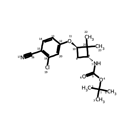 CC(C)(C)OC(=O)N[C@@H]1C[C@@H](Oc2ccc(C#N)c(Cl)c2)C1(C)C